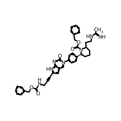 CC(=N)NCCC1CCC[C@@H](c2ccc(-n3cc4cc(C#CCNC(=O)OCc5ccccc5)[nH]c4nc3=O)cc2)N1C(=O)OCc1ccccc1